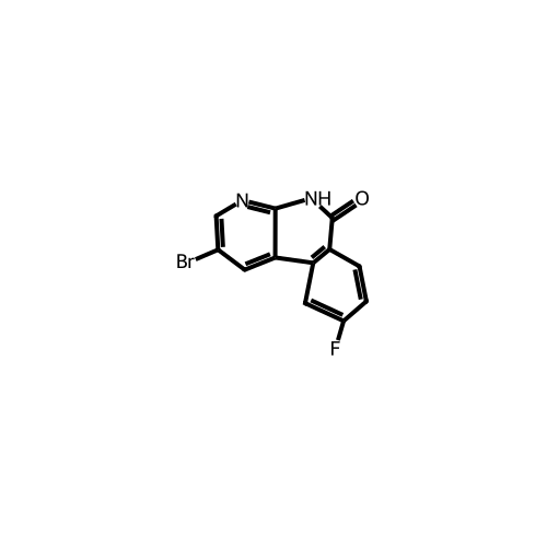 O=c1[nH]c2ncc(Br)cc2c2cc(F)ccc12